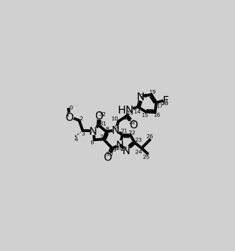 COC[C@@H](C)N1Cc2c(n(CC(=O)Nc3ccc(F)cn3)c3cc(C(C)C)nn3c2=O)C1=O